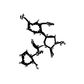 COc1cc(C(F)(F)F)ccc1[C@H]1CN(C)C(=O)[C@@H]1C(=O)Nc1ccccc1F